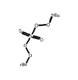 CCCCOOS(=O)(=O)OOCCCC